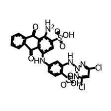 Nc1c(S(=O)(=O)O)cc(Nc2ccc(S(=O)(=O)O)c(NN3N=C(Cl)C=C(Cl)N3)c2)c2c1C(=O)c1ccccc1C2=O